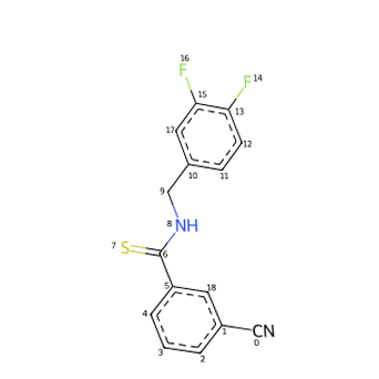 N#Cc1cccc(C(=S)NCc2ccc(F)c(F)c2)c1